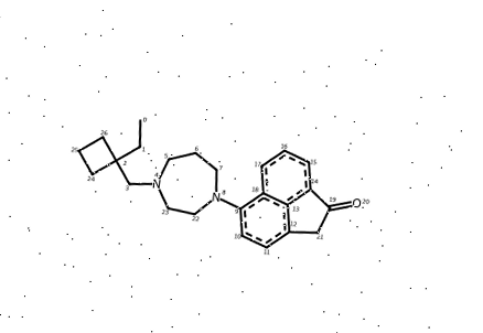 CCC1(CN2CCCN(c3ccc4c5c(cccc35)C(=O)C4)CC2)CCC1